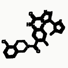 Cc1cc2c(cc1C(=O)N1CCc3c(Cl)cccc3C1)[nH]c(=O)c1nnc(-c3sccc3C)n12